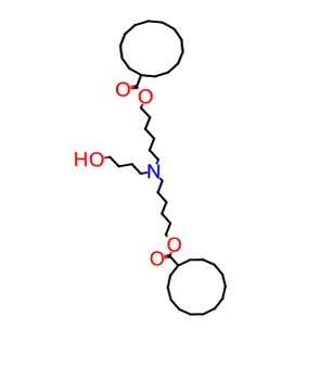 O=C(OCCCCCCN(CCCCO)CCCCCCOC(=O)C1CCCCCCCCCCCCC1)C1CCCCCCCCCCCCC1